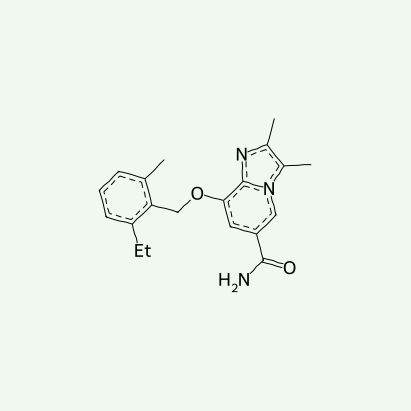 CCc1cccc(C)c1COc1cc(C(N)=O)cn2c(C)c(C)nc12